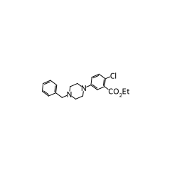 CCOC(=O)c1cc(N2CCN(Cc3ccccc3)CC2)ccc1Cl